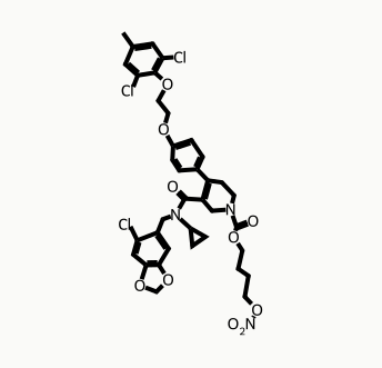 Cc1cc(Cl)c(OCCOc2ccc(C3=C(C(=O)N(Cc4cc5c(cc4Cl)OCO5)C4CC4)CN(C(=O)OCCCCO[N+](=O)[O-])CC3)cc2)c(Cl)c1